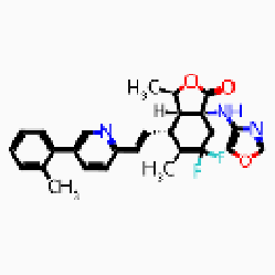 Cc1ccccc1-c1ccc(/C=C/[C@@H]2[C@@H]3[C@@H](C)OC(=O)[C@]3(Nc3cocn3)CC(F)(F)[C@H]2C)nc1